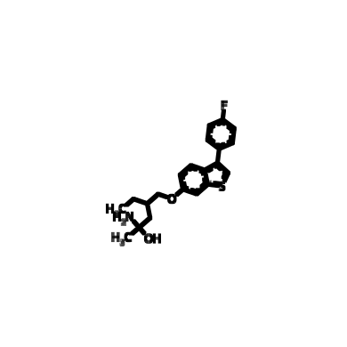 CCC(COc1ccc2c(-c3ccc(F)cc3)csc2c1)CC(C)(N)O